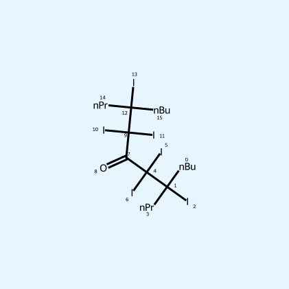 CCCCC(I)(CCC)C(I)(I)C(=O)C(I)(I)C(I)(CCC)CCCC